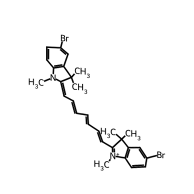 CN1/C(=C/C=C/C=C/C=C/C2=[N+](C)c3ccc(Br)cc3C2(C)C)C(C)(C)c2cc(Br)ccc21